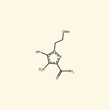 CCCc1c([N+](=O)[O-])c(C(N)=O)nn1CCOC